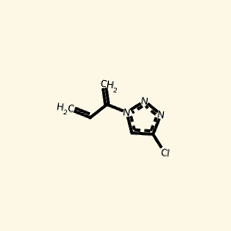 C=CC(=C)n1cc(Cl)nn1